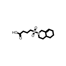 O=C(O)CCCS(=O)(=O)N1CCC2CCCC=C2C1